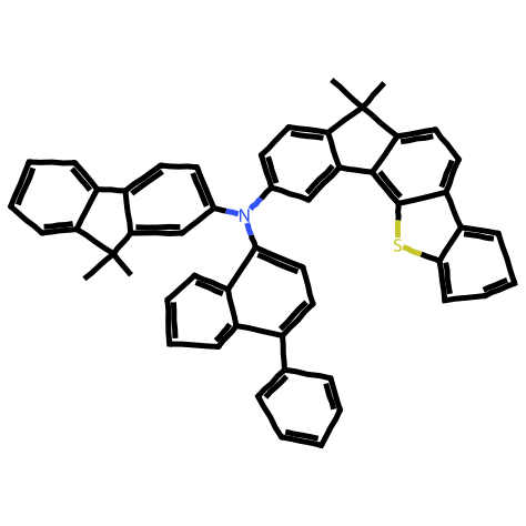 CC1(C)c2ccccc2-c2ccc(N(c3ccc4c(c3)-c3c(ccc5c3sc3ccccc35)C4(C)C)c3ccc(-c4ccccc4)c4ccccc34)cc21